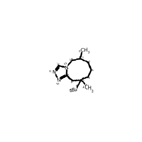 CC1CCCC(C)(C(C)(C)C)Cc2nncn2C1